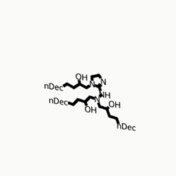 CCCCCCCCCCCCC(O)CN(CC(O)CCCCCCCCCCCC)NC1=NCCN1CC(O)CCCCCCCCCCCC